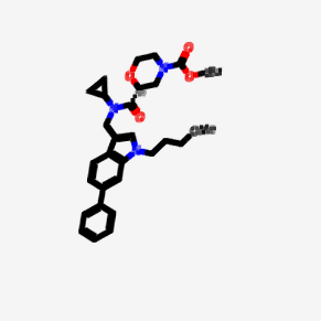 COCCCn1cc(CN(C(=O)[C@H]2CN(C(=O)OC(C)(C)C)CCO2)C2CC2)c2ccc(-c3ccccc3)cc21